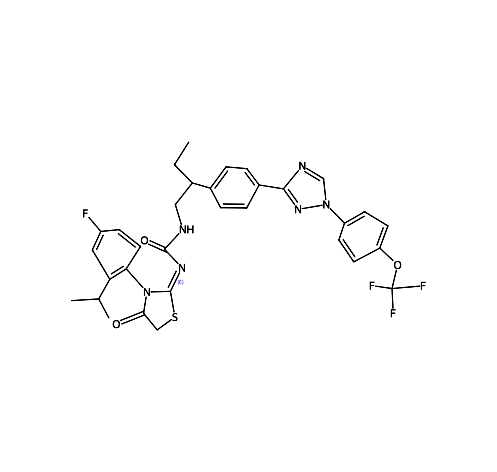 CCC(CNC(=O)/N=C1/SCC(=O)N1c1ccc(F)cc1C(C)C)c1ccc(-c2ncn(-c3ccc(OC(F)(F)F)cc3)n2)cc1